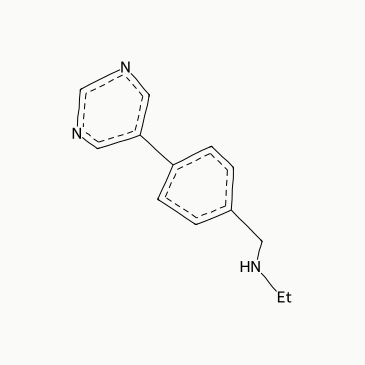 CCNCc1ccc(-c2cncnc2)cc1